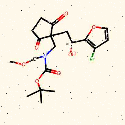 COCN(CC1(C[C@@H](O)c2occc2Br)C(=O)CCC1=O)C(=O)OC(C)(C)C